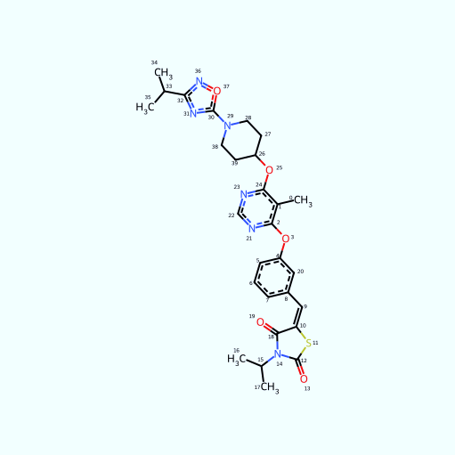 Cc1c(Oc2cccc(/C=C3/SC(=O)N(C(C)C)C3=O)c2)ncnc1OC1CCN(c2nc(C(C)C)no2)CC1